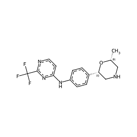 C[C@@H]1CNC[C@H](c2ccc(Nc3ccnc(C(F)(F)F)n3)cc2)O1